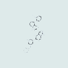 Fc1ccccc1-c1cccc2[nH]c(-c3n[nH]c4cnc(-c5cncc(CN6CCCC6)c5)c(F)c34)nc12